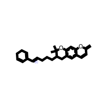 C=C1C=Cc2cc3c(cc2O1)OC(C)(C)C(CCC/C=C/C1=CCCC=C1)C3